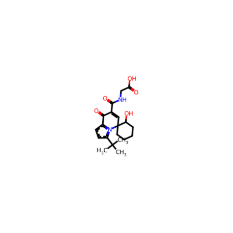 CC(C)(C)c1ccc2n1C1(C=C(C(=O)NCC(=O)O)C2=O)CCCCC1O